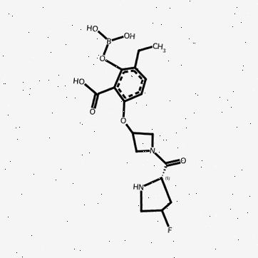 CCc1ccc(OC2CN(C(=O)[C@@H]3CC(F)CN3)C2)c(C(=O)O)c1OB(O)O